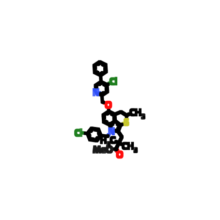 COC(=O)C(C)(C)Cc1c2c3c(c(OCc4cc(Cl)c(-c5ccccc5)cn4)ccc3n1Cc1ccc(Cl)cc1)CC(C)S2